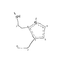 CCc1ccsc1CS